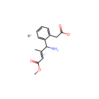 COC(=O)/C=C(\C)C(N)c1ccccc1CC(=O)[O-].[K+]